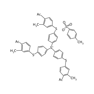 CC(=O)c1ccc(Sc2ccc([S+](c3ccc(Sc4ccc(C(C)=O)c(C)c4)cc3)c3ccc(Sc4ccc(C(C)=O)c(C)c4)cc3)cc2)cc1C.Cc1ccc(S(=O)(=O)[O-])cc1